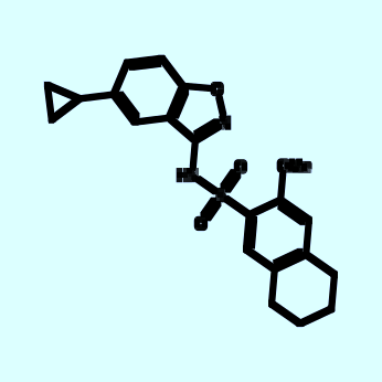 COc1cc2c(cc1S(=O)(=O)Nc1noc3ccc(C4CC4)cc13)CCCC2